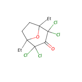 CCC12CCC(CC)(O1)C(Cl)(Cl)C(=O)C2(Cl)Cl